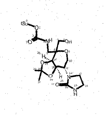 CC(C)(C)OC(=O)NCC1(CO)OC[C@H](N2CCNC2=O)[C@H]2OC(C)(C)O[C@H]21